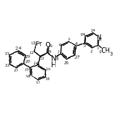 Cc1cc(-c2ccc(NC(=O)C(CC(C)C)c3ccccc3-c3ccccc3)cc2)ccn1